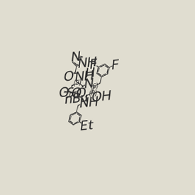 CCCCS(=O)(=O)C[C@@H](NC(=O)c1cnc[nH]1)C(=O)N[C@@H](Cc1cc(F)cc(F)c1)[C@H](O)CNCc1cccc(CC)c1